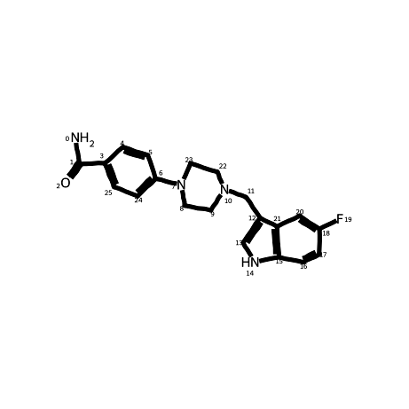 NC(=O)c1ccc(N2CCN(Cc3c[nH]c4ccc(F)cc34)CC2)cc1